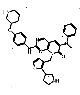 CN(c1ccccc1)c1cc2cnc(Nc3ccc(OC4CCCNC4)cc3)nc2n(Cc2ccoc2C2CCNC2)c1=O